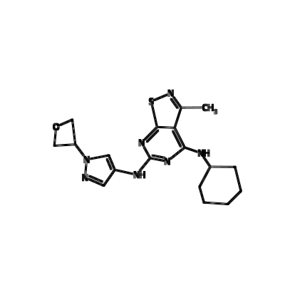 Cc1nsc2nc(Nc3cnn(C4COC4)c3)nc(NC3CCCCC3)c12